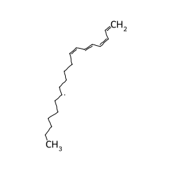 C=C\C=C/C=C/C=C\CCCC[CH]CCCCCC